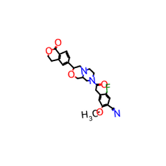 COc1cc(CC(=O)N2CCN3CC(c4ccc5c(c4)CCOC5=O)OCC3C2)c(F)cc1C#N